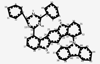 c1ccc(-c2nc(-c3ccccc3)nc(-c3cccc4sc5cc6c(cc5c34)sc3cccc(-n4c5ccccc5c5ccccc54)c36)n2)cc1